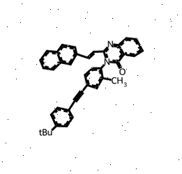 Cc1cc(C#Cc2ccc(C(C)(C)C)cc2)ccc1-n1c(/C=C/c2ccc3ccccc3c2)nc2ccccc2c1=O